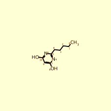 CCCCCc1nc(O)cc(O)n1